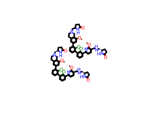 COc1cc(-c2cccc(-c3cccc(-c4ccc(CNC[C@@H]5CCC(=O)N5)c(OC)n4)c3Cl)c2Cl)cc2c1CN(CC1CCC(=O)N1)CC2.COc1cc(-c2cccc(-c3cccc(-c4ccc(CNC[C@H]5CCC(=O)N5)c(OC)n4)c3Cl)c2Cl)cc2c1CN(C[C@H]1CCC(=O)N1)CC2